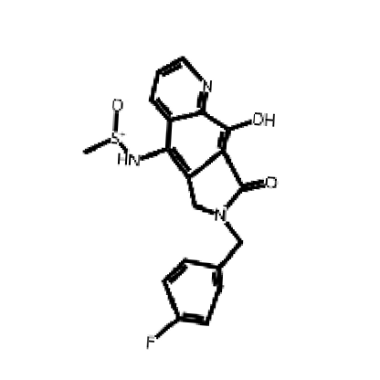 C[S+]([O-])Nc1c2c(c(O)c3ncccc13)C(=O)N(Cc1ccc(F)cc1)C2